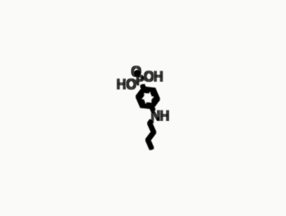 CCCCNc1ccc(P(=O)(O)O)cc1